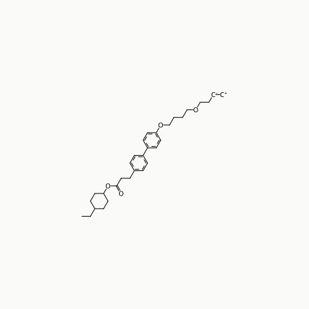 [CH2+][CH-]CCOCCCCOc1ccc(-c2ccc(CCC(=O)OC3CCC(CC)CC3)cc2)cc1